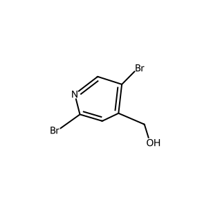 OCc1cc(Br)ncc1Br